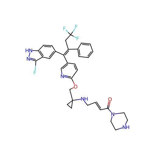 O=C(/C=C/CNC1(COc2ccc(/C(=C(/CC(F)(F)F)c3ccccc3)c3ccc4[nH]nc(F)c4c3)cn2)CC1)N1CCNCC1